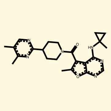 Cc1cnc(C2CCN(C(=O)c3c(C)oc4ncnc(NC5(C)CC5)c34)CC2)nc1C